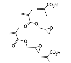 C=C(C)C(=O)O.C=C(C)C(=O)O.C=C(C)C(=O)OCC1CO1.C=C(C)C(=O)OCC1CO1